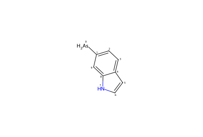 [AsH2]c1ccc2cc[nH]c2c1